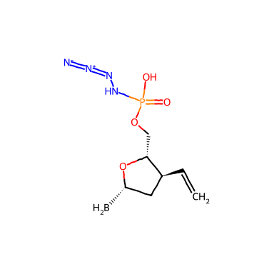 B[C@H]1C[C@H](C=C)[C@@H](COP(=O)(O)NN=[N+]=[N-])O1